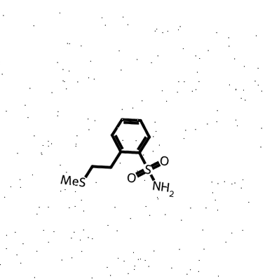 CSCCc1ccccc1S(N)(=O)=O